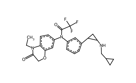 CCN1C(=O)COc2cc(N(C(=O)C(F)(F)F)c3cccc(C4CC4NCC4CC4)c3)ccc21